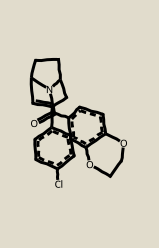 O=C(c1ccc2c(c1)OCCO2)N1C2C=C(c3ccc(Cl)cc3)CC1CC2